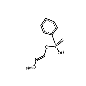 CON=COP(O)(=S)c1ccccc1